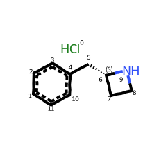 Cl.c1ccc(C[C@H]2CCN2)cc1